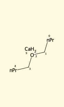 CCCCOCCCC.[CaH2]